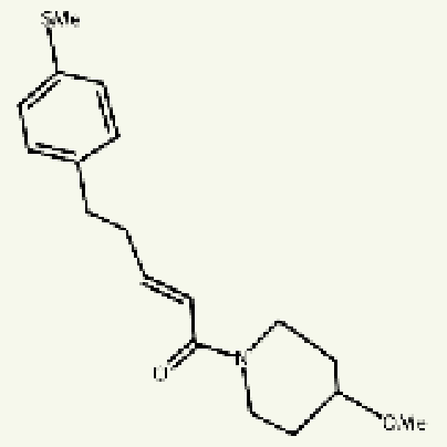 COC1CCN(C(=O)/C=C/CCc2ccc(SC)cc2)CC1